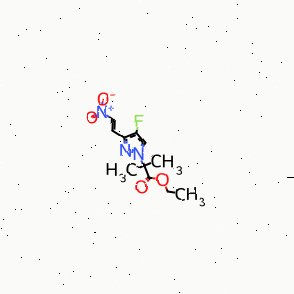 CCOC(=O)C(C)(C)n1cc(F)c(/C=C/[N+](=O)[O-])n1